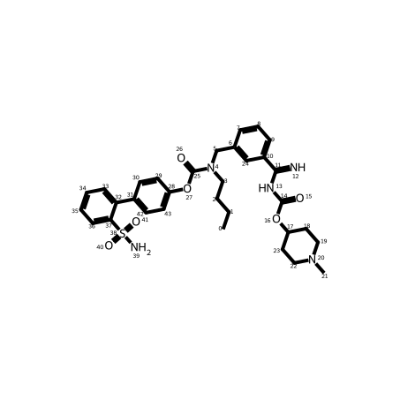 CCCCN(Cc1cccc(C(=N)NC(=O)OC2CCN(C)CC2)c1)C(=O)Oc1ccc(-c2ccccc2S(N)(=O)=O)cc1